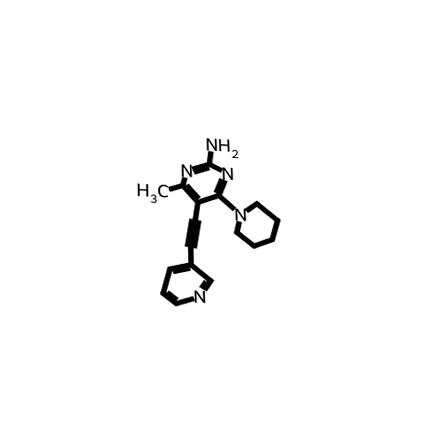 Cc1nc(N)nc(N2CCCCC2)c1C#Cc1cccnc1